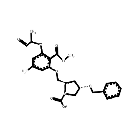 COC(=O)c1c(OC[C@H]2C[C@H](OCc3ccccc3)CN2C(=O)O)cc(C)cc1OC(C)C=O